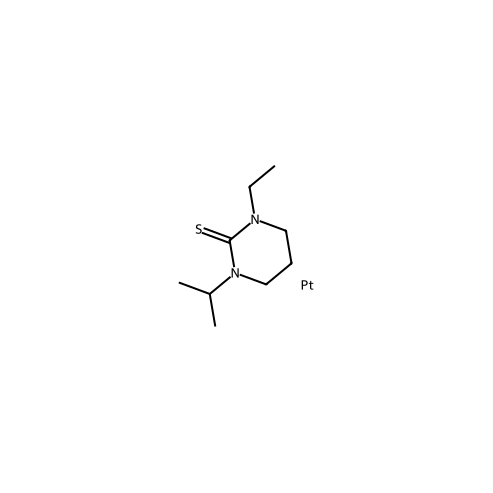 CCN1CCCN(C(C)C)C1=S.[Pt]